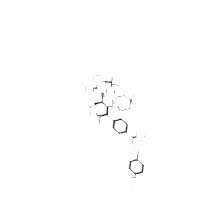 Cc1nc(C)c([C@H](OC(C)(C)C)C(=O)O)c(N2CCC(C)(C)CC2)c1-c1ccc(C(=O)CCc2ccc(F)cc2)cc1